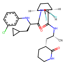 N#C[C@H](C[C@H]1CCCNC1=O)NC(=O)[C@@H]1[C@@H]2CC[C@@H](CC2(F)F)N1C(=O)[C@@H](CC1CC1)Nc1cccc(Cl)c1